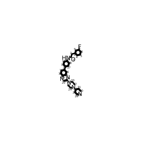 O=C(Cc1cccc(F)c1)Nc1ccc(-c2ccc3ncc(N4CCN(c5ccncc5)CC4)nc3c2)cc1